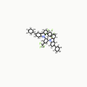 Fc1c(F)c(F)c(-c2c(-n3c4ccccc4c4cc(-c5ccccc5)ccc43)cc(C(F)(F)F)cc2-n2c3ccccc3c3cc(-c4ccccc4)ccc32)c(F)c1F